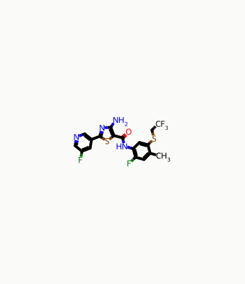 Cc1cc(F)c(NC(=O)c2sc(-c3cncc(F)c3)nc2N)cc1SCC(F)(F)F